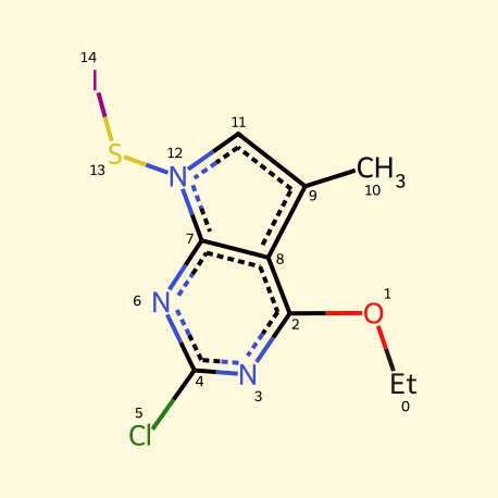 CCOc1nc(Cl)nc2c1c(C)cn2SI